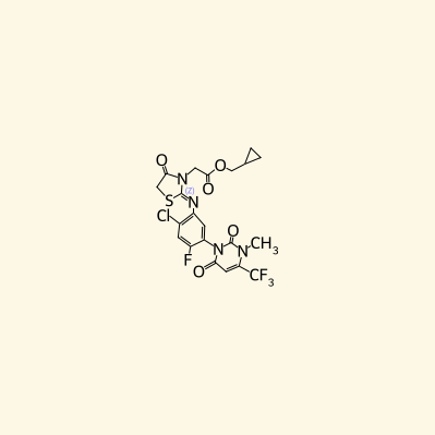 Cn1c(C(F)(F)F)cc(=O)n(-c2cc(/N=C3\SCC(=O)N3CC(=O)OCC3CC3)c(Cl)cc2F)c1=O